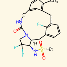 CCS(=O)(=O)N[C@@H]1[C@@H]2Cc3cccc(c3F)Cc3cc(ccc3C)CNC(=O)N2CC1(F)F